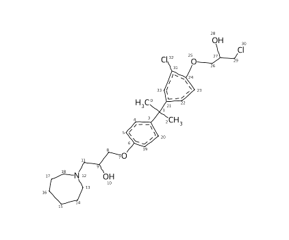 CC(C)(c1ccc(OCC(O)CN2CCCCCC2)cc1)c1ccc(OCC(O)CCl)c(Cl)c1